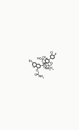 CCc1cnc2c(OCC(N)=O)cc(C(=O)NCC(O)(c3cc4c(c(-c5ccc(F)c(Cl)c5)n3)OC[C@]4(C)C(N)=O)C(F)(F)F)cc2c1